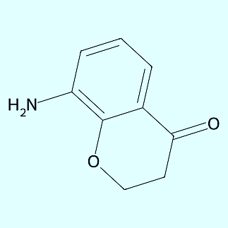 Nc1cccc2c1OCCC2=O